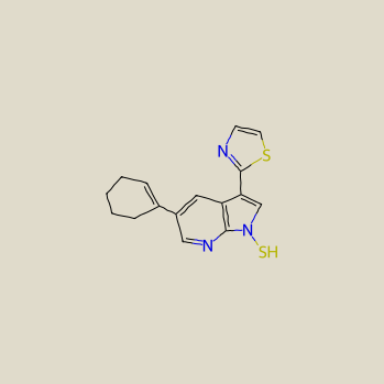 Sn1cc(-c2nccs2)c2cc(C3=CCCCC3)cnc21